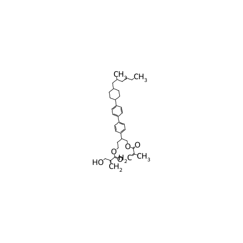 C=C(C)C(=O)OCC(CCOC(=O)C(=C)CO)c1ccc(-c2ccc(C3CCC(CC(C)CCCC)CC3)cc2)cc1